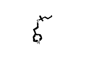 CCCC(C)(C)SCCc1ccncc1